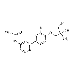 COC(=O)Nc1cc(-c2cnc(OCC(C)(N)CC(C)C)c(Cl)c2)ncn1